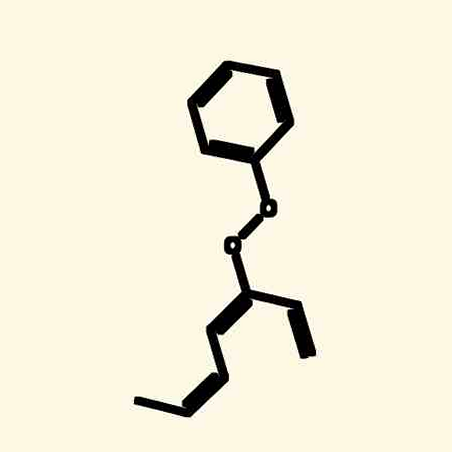 C=C/C(=C\C=C/C)OOc1ccccc1